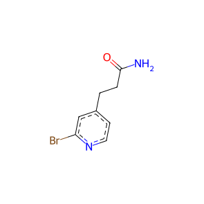 NC(=O)CCc1ccnc(Br)c1